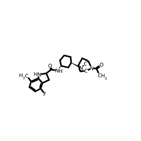 CC(=O)N1CC2CCC1CN2[C@@H]1CCC[C@@H](NC(=O)C2Cc3c(F)ccc(C)c3N2)C1